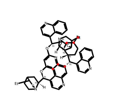 CCC1CN2CCC1C[C@@H]2[C@@H](Oc1cc(O[C@@H](c2ccnc3ccccc23)[C@@H]2CC3CCN2CC3CC)nc(O[C@@H](c2ccnc3ccccc23)[C@H]2CC3CC[N@]2CC3CC)n1)c1ccnc2ccccc12